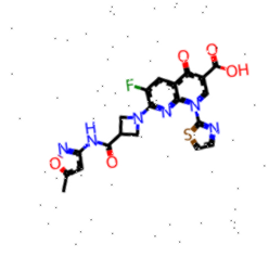 Cc1cc(NC(=O)C2CN(c3nc4c(cc3F)c(=O)c(C(=O)O)cn4-c3nccs3)C2)no1